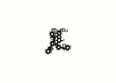 Cc1cc2c3c(c1)N(c1c(C)cc(C(C)(C)C)cc1C)c1c(oc4ccc(C(C)(C)C)cc14)B3c1ccc(-c3cc4ccccc4o3)cc1N2c1cccc(-c2cc3ccccc3o2)c1